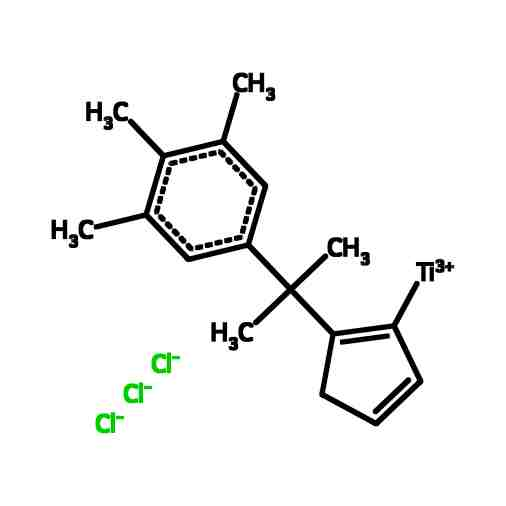 Cc1cc(C(C)(C)C2=[C]([Ti+3])C=CC2)cc(C)c1C.[Cl-].[Cl-].[Cl-]